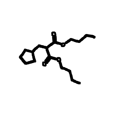 CCCCOC(=O)C(CC1CCCC1)C(=O)OCCCC